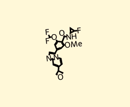 COc1cc(-c2cnc3cc(C4COC4)ccn23)cc(OC(F)F)c1C(=O)NC1CC1F